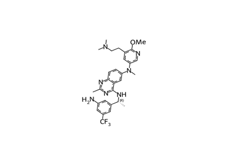 COc1ncc(N(C)c2ccc3nc(C)nc(N[C@H](C)c4cc(N)cc(C(F)(F)F)c4)c3c2)cc1CCN(C)C